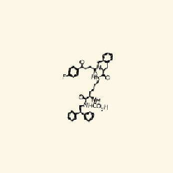 O=C(O)NC(CCCCNC(=O)C1Cc2ccccc2CN1C(=O)CCC(=O)c1ccc(F)cc1)C(=O)NCC(c1ccccc1)c1ccccc1